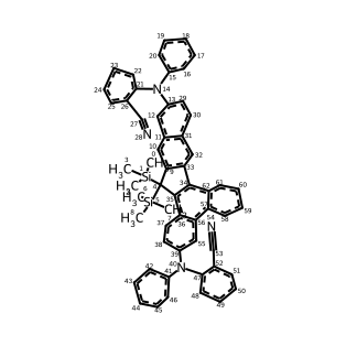 C[Si](C)(C)C1([Si](C)(C)C)c2cc3cc(N(c4ccccc4)c4ccccc4C#N)ccc3cc2-c2c1c1ccc(N(c3ccccc3)c3ccccc3C#N)cc1c1ccccc21